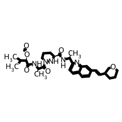 CC(C)[C@H](OC=O)C(=O)N[C@@H](C)C(=O)N1CCC[C@@H](C(=O)N[C@H](C)c2ccc3ccc(/C=C/C4CCCOC4)cc3n2)N1